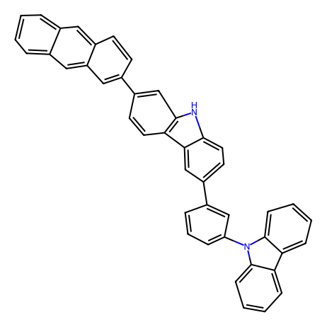 c1cc(-c2ccc3[nH]c4cc(-c5ccc6cc7ccccc7cc6c5)ccc4c3c2)cc(-n2c3ccccc3c3ccccc32)c1